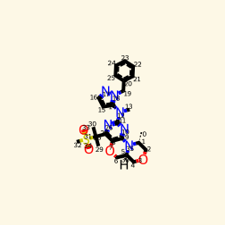 C[C@@H]1COC[C@H]2COc3c(nc(N(C)c4ccnn4Cc4ccccc4)nc3C(C)(C)S(C)(=O)=O)N21